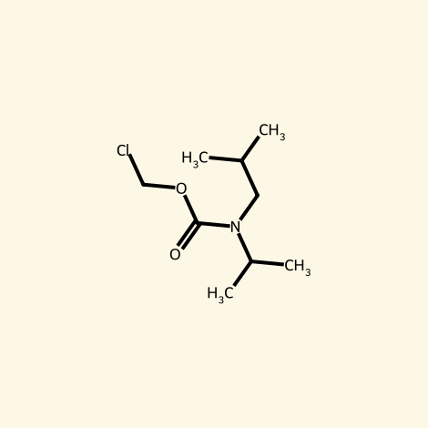 CC(C)CN(C(=O)OCCl)C(C)C